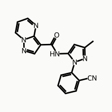 Cc1cc(NC(=O)c2cnn3cccnc23)n(-c2ccccc2C#N)n1